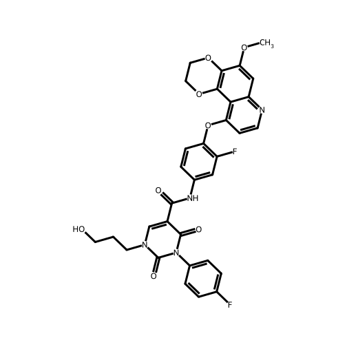 COc1cc2nccc(Oc3ccc(NC(=O)c4cn(CCCO)c(=O)n(-c5ccc(F)cc5)c4=O)cc3F)c2c2c1OCCO2